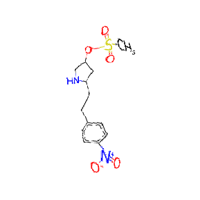 CS(=O)(=O)OC1CNC(CCc2ccc([N+](=O)[O-])cc2)C1